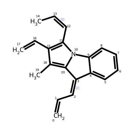 C=C/C=c1/c2ccccc2n2c(/C=C\C)c(C=C)c(C)c12